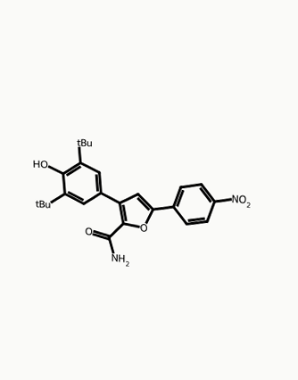 CC(C)(C)c1cc(-c2cc(-c3ccc([N+](=O)[O-])cc3)oc2C(N)=O)cc(C(C)(C)C)c1O